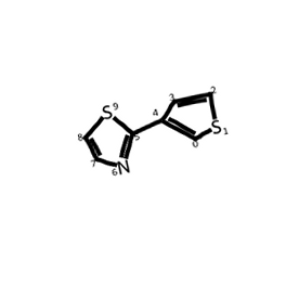 [c]1sccc1-c1nccs1